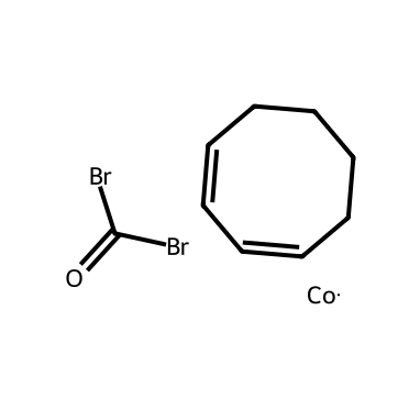 C1=C\CCCC\C=C/1.O=C(Br)Br.[Co]